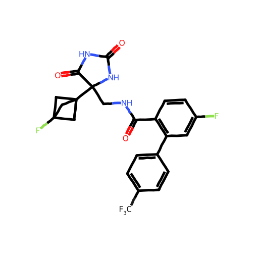 O=C1NC(=O)C(CNC(=O)c2ccc(F)cc2-c2ccc(C(F)(F)F)cc2)(C23CC(F)(C2)C3)N1